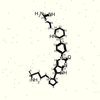 C[C@H](N)CCCN1CCCC1c1cc2cn(-c3ccc([C@@H]4CCC[C@@H](CCSC(=N)N)N4)cc3)c(=O)nc2[nH]1